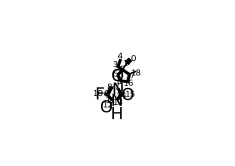 C#C[C@]1(CC)O[C@@H](n2cc(F)c(=O)[nH]c2=O)C[C@@H]1C